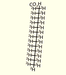 [2H]C([2H])([2H])C([2H])([2H])C([2H])([2H])C([2H])([2H])C([2H])([2H])C([2H])([2H])C([2H])([2H])C([2H])([2H])C([2H])([2H])C([2H])([2H])C([2H])([2H])C([2H])([2H])C([2H])([2H])C(=O)O